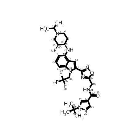 CC(C)N1CC[C@@H](Nc2cccc3c2cc(-c2noc(CNC(=O)c4cnn(C(C)(C)C)c4)n2)n3CC(F)(F)F)[C@@H](F)C1